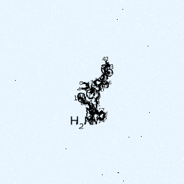 CCN(CC)CC(=O)N(CCCn1c(CCOC)nc2c(N)nc3ccccc3c21)Cc1cccc(OCC(=O)OC(C)C)c1OC